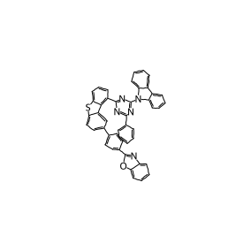 c1ccc(-c2nc(-c3cccc4sc5ccc(-c6ccc(-c7nc8ccccc8o7)cc6)cc5c34)nc(-n3c4ccccc4c4ccccc43)n2)cc1